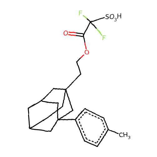 Cc1ccc(C23CC4CC(CC(CCOC(=O)C(F)(F)S(=O)(=O)O)(C4)C2)C3)cc1